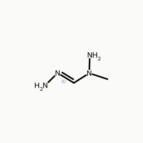 CN(N)/C=N/N